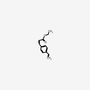 C=Cc1ccc(/C=C\C(=O)OCC)cc1